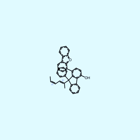 C/C=C\C=C(/C)C1(c2ccccc2)c2ccccc2-c2c(O)ccc(-c3cccc4c3oc3ccccc34)c21